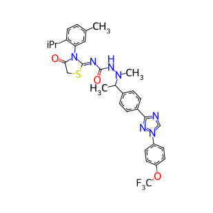 Cc1ccc(C(C)C)c(N2C(=O)CSC2=NC(=O)NN(C)C(C)c2ccc(-c3ncn(-c4ccc(OC(F)(F)F)cc4)n3)cc2)c1